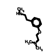 CNCCc1cccc(OCCN(C)C)c1